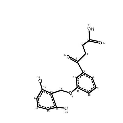 O=C(O)CCC(=O)c1cccc(OCc2c(Cl)cccc2Cl)c1